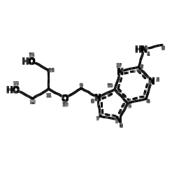 CNc1ncc2ncn(COC(CO)CO)c2n1